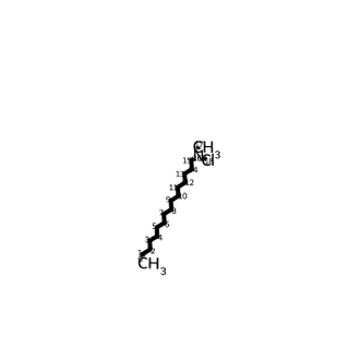 CCCCCCCCCCCCCCCCN(C)Cl